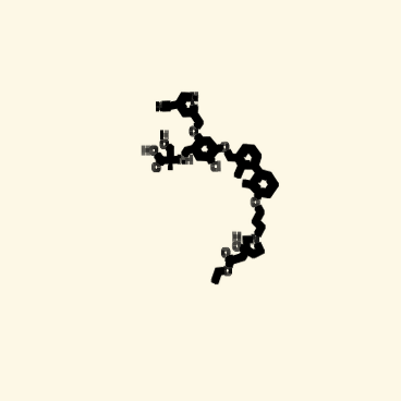 CCOC(=O)CC1(O)CCN(CCCOc2cccc(-c3cccc(COc4cc(OCc5cncc(C#N)c5)c(CN[C@@](C)(CO)C(=O)O)cc4Cl)c3C)c2C)C1